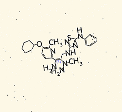 Cc1nc(/C(N)=C(\CNc2nsc(Nc3ccccc3)n2)N(C)N)ccc1OC1CCCCC1